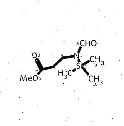 COC(=O)CCN([C]=O)[Si](C)(C)C